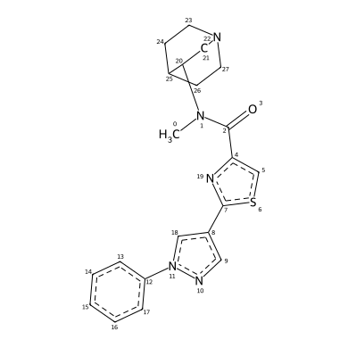 CN(C(=O)c1csc(-c2cnn(-c3ccccc3)c2)n1)C1CN2CCC1CC2